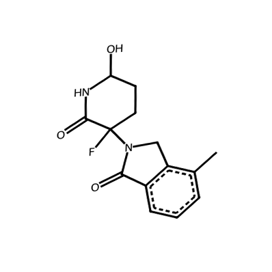 Cc1cccc2c1CN(C1(F)CCC(O)NC1=O)C2=O